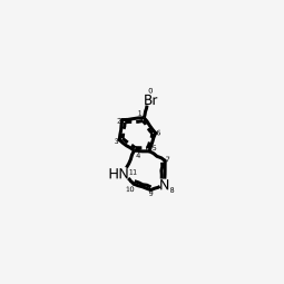 Brc1ccc2c(c1)C=NC=CN2